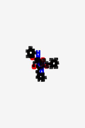 CC1(NC(=O)[C@H](Cc2ccccc2)NC(=O)OCc2ccccc2)C(=O)NC1Oc1ccccc1